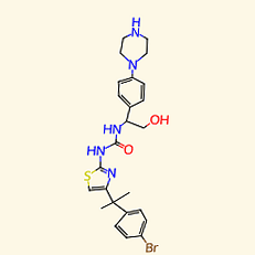 CC(C)(c1ccc(Br)cc1)c1csc(NC(=O)NC(CO)c2ccc(N3CCNCC3)cc2)n1